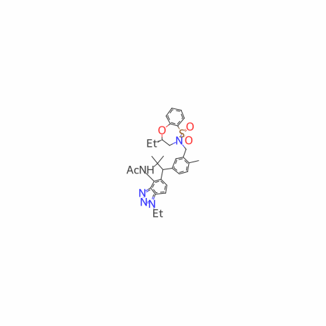 CC[C@@H]1CN(Cc2cc(C(c3ccc4c(nnn4CC)c3C)C(C)(C)NC(C)=O)ccc2C)S(=O)(=O)c2ccccc2O1